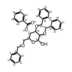 O=C(O[C@H]1C(COCc2ccccc2)O[C@H](O)C(OCc2ccccc2)C1OCc1ccccc1)c1ccccc1